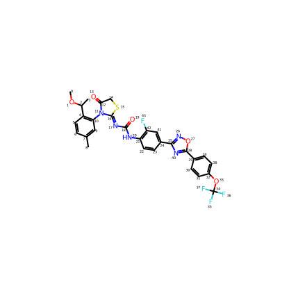 COC(C)c1ccc(C)cc1N1C(=O)CS/C1=N\C(=O)Nc1ccc(-c2noc(-c3ccc(OC(F)(F)F)cc3)n2)cc1F